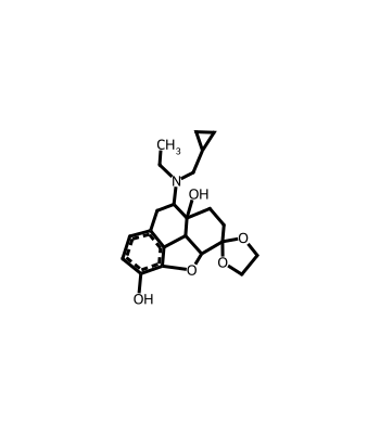 CCN(CC1CC1)C1Cc2ccc(O)c3c2C2C(O3)C3(CCC21O)OCCO3